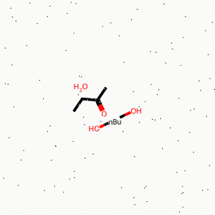 CCC(C)=O.CCCCO.CO.O